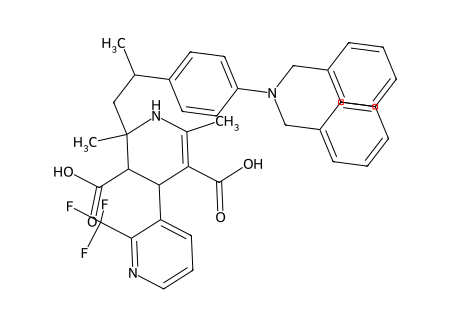 CC1=C(C(=O)O)C(c2cccnc2C(F)(F)F)C(C(=O)O)C(C)(CC(C)c2ccc(N(Cc3ccccc3)Cc3ccccc3)cc2)N1